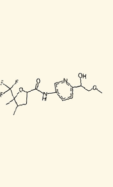 COCC(O)c1ccc(NC(=O)C2CC(C)C(C)(C(F)(F)F)O2)cn1